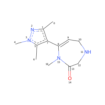 Cc1nn(C)c(C)c1C1=CCNCC(=O)N1C